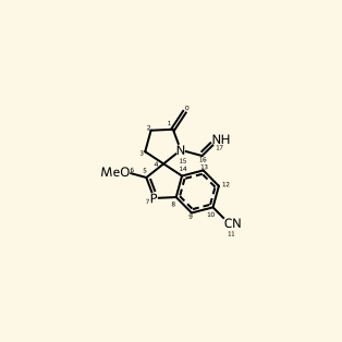 C=C1CCC2(C(OC)=Pc3cc(C#N)ccc32)N1C=N